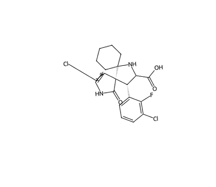 O=C(O)C1NC2(CCCCC2)[C@@]2(C(=O)Nc3cc(Cl)ccc32)[C@H]1c1cccc(Cl)c1F